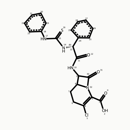 O=C(O)C1=C(Cl)CCC2C(NC(=O)[C@H](NC(=S)Nc3ccccc3)c3ccccc3)C(=O)N12